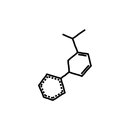 CC(C)C1=CC=CC(c2ccccc2)C1